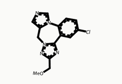 COCc1nc2n(n1)Cc1cncn1-c1ccc(Cl)cc1-2